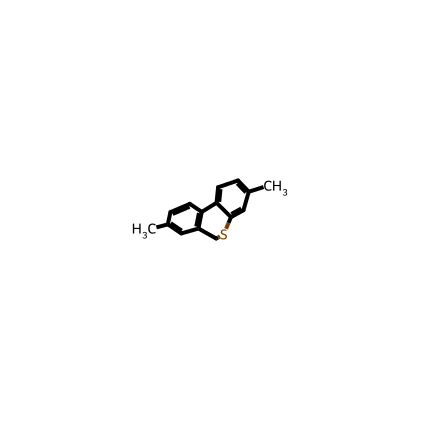 Cc1ccc2c(c1)CSc1cc(C)ccc1-2